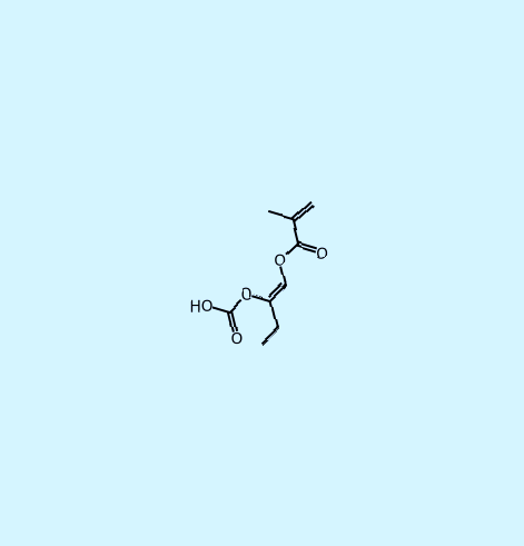 C=C(C)C(=O)OC=C(CC)OC(=O)O